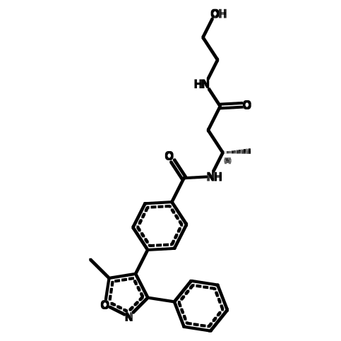 Cc1onc(-c2ccccc2)c1-c1ccc(C(=O)N[C@@H](C)CC(=O)NCCO)cc1